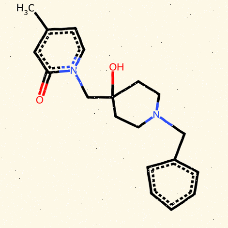 Cc1ccn(CC2(O)CCN(Cc3ccccc3)CC2)c(=O)c1